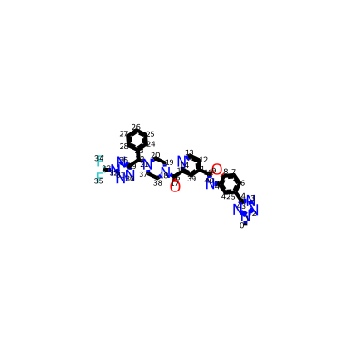 Cn1nnc(-c2ccc3oc(-c4ccnc(C(=O)N5CCN(C(c6ccccc6)c6nnn(C(F)F)n6)CC5)c4)nc3c2)n1